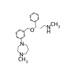 CNCC[C@H](OCc1cccc(N2CCCN(C)CC2)c1)c1ccccc1